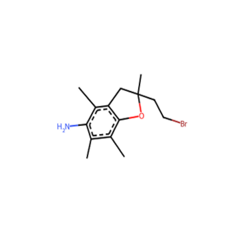 Cc1c(C)c2c(c(C)c1N)CC(C)(CCBr)O2